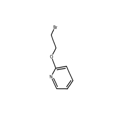 BrCCOc1ccccn1